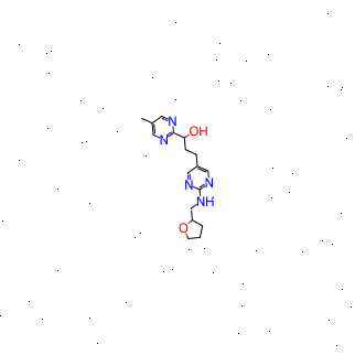 Cc1cnc(C(O)CCc2cnc(NCC3CCCO3)nc2)nc1